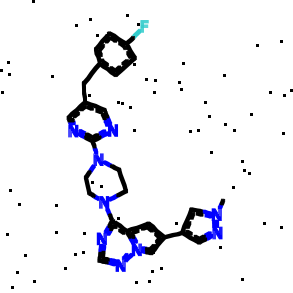 Cn1cc(-c2cc3c(N4CCN(c5ncc(Cc6ccc(F)cc6)cn5)CC4)ncnn3c2)cn1